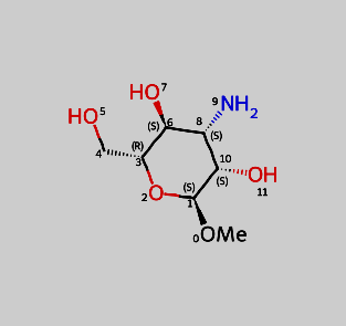 CO[C@H]1O[C@H](CO)[C@@H](O)[C@H](N)[C@@H]1O